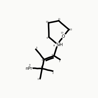 CCCC(C)(C)/C(C)=C(\C)[SiH]1CCCCO1